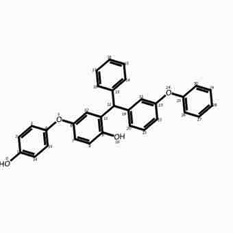 Oc1ccc(Oc2ccc(O)c(C(c3ccccc3)c3cccc(Oc4ccccc4)c3)c2)cc1